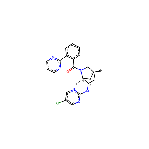 O=C(c1ccccc1-c1ncccn1)N1C[C@@H]2C[C@@H](Nc3ncc(Cl)cn3)[C@@H]1C2